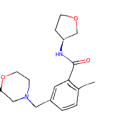 Cc1ccc(CN2CCOCC2)cc1C(=O)N[C@H]1CCOC1